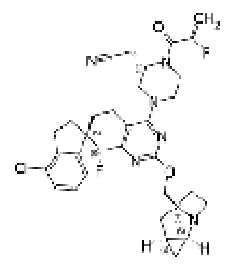 C=C(F)C(=O)N1CCN(c2nc(OC[C@@]34CCN3[C@H]3C[C@H]3C4)nc3c2CC[C@@]2(CCc4c(Cl)cccc42)[C@H]3F)C[C@@H]1CC#N